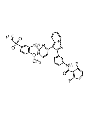 CCS(=O)(=O)c1ccc(OC)c(Nc2nccc(-c3c(-c4cccc(NC(=O)c5c(F)cccc5F)c4)nn4ccccc34)n2)c1